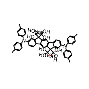 Cc1ccc(N(c2ccc(C)cc2)c2ccc3c(c2)C(C(O)(O)O)(C(O)(O)O)c2cc4c(cc2-3)C(C(O)(O)O)(C(O)(O)O)c2cc(N(c3ccc(C)cc3)c3ccc(C)cc3)ccc2-4)cc1